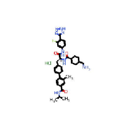 Cc1cc(C(=O)NC(C)C)ccc1-c1ccc(C[C@H](NC(=O)C2CCC(CN)CC2)C(=O)Nc2ccc(-c3nn[nH]n3)c(F)c2)cc1.Cl